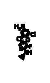 Nc1cc(Cl)c(Oc2ncnc(NC3CC3)c2F)c(Cl)c1